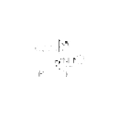 CCN1[C@H](C(=O)[O-])[C@H]1C(=O)N[C@@H](Cc1ccccc1)C(=O)NCCC(C)C.[Na+]